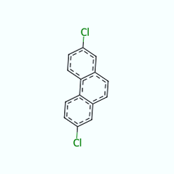 Clc1ccc2c(ccc3cc(Cl)ccc32)c1